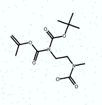 C=C(C)OC(=O)N(CCN(C)C(=O)Cl)C(=O)OC(C)(C)C